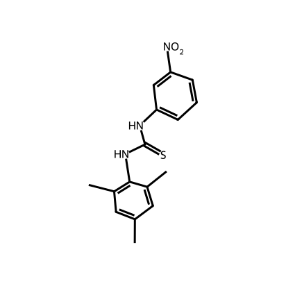 Cc1cc(C)c(NC(=S)Nc2cccc([N+](=O)[O-])c2)c(C)c1